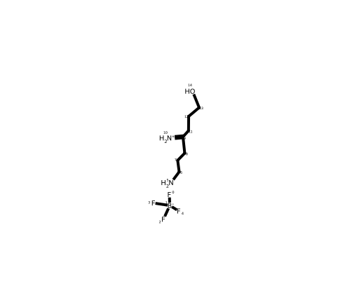 F[B-](F)(F)F.NCCCC(=[NH2+])CCCO